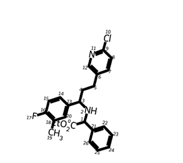 CCOC(=O)C(NC(CCc1ccc(Cl)nc1)c1ccc(F)c(C)c1)c1ccccc1